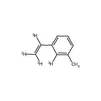 [2H]C([2H])=C([2H])c1cccc(C)c1[2H]